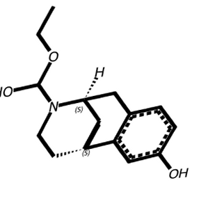 CCOC(O)N1CC[C@@]23CCCCC2[C@@H]1Cc1ccc(O)cc13